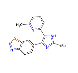 Cc1cccc(-c2[nH]c(C(C)(C)C)nc2-c2ccc3ncsc3c2)n1